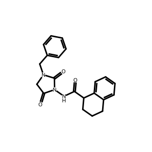 O=C(NN1C(=O)CN(Cc2ccccc2)C1=O)C1CCCc2ccccc21